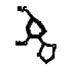 COc1cc(C)ccc1C1OCCO1